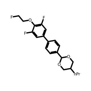 CCCC1COC(c2ccc(-c3cc(F)c(OCCF)c(F)c3)cc2)OC1